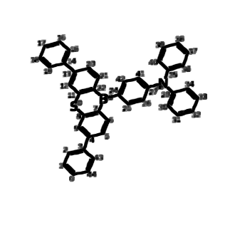 c1ccc(-c2ccc3c(c2)Sc2cc(-c4ccccc4)ccc2B3c2ccc(N(c3ccccc3)c3ccccc3)cc2)cc1